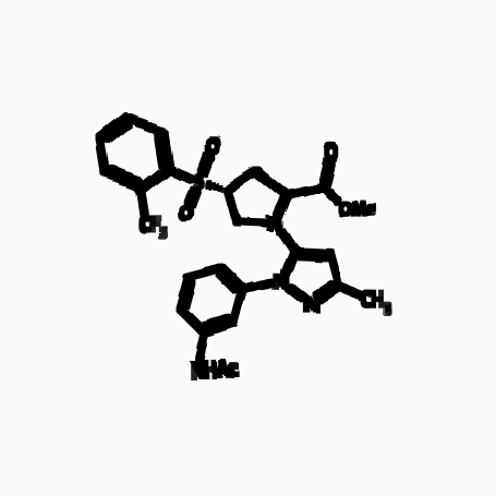 COC(=O)C1C[C@@H](S(=O)(=O)c2ccccc2C(F)(F)F)CN1c1cc(C)nn1-c1cccc(NC(C)=O)c1